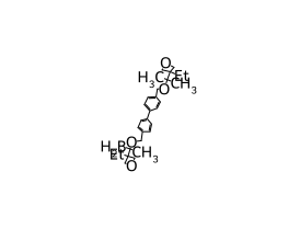 BC(C)(OCc1ccc(-c2ccc(COC(C)(C)C3(CC)COC3)cc2)cc1)C1(CC)COC1